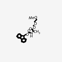 COCCOCOC(=O)[C@H](C)NC(=O)OCC1c2ccccc2-c2ccccc21